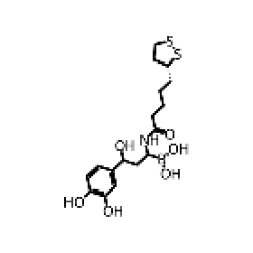 O=C(CCCC[C@@H]1CCSS1)NC(CC(O)c1ccc(O)c(O)c1)B(O)O